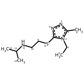 CCn1c(C)nnc1SCCNC(C)C